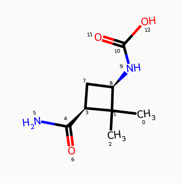 CC1(C)[C@@H](C(N)=O)C[C@H]1NC(=O)O